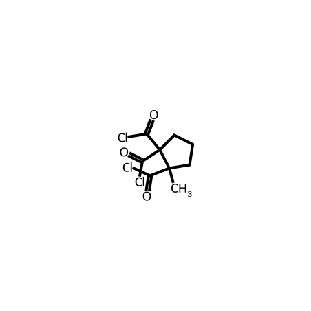 CC1(C(=O)Cl)CCCC1(C(=O)Cl)C(=O)Cl